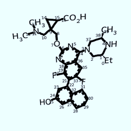 CC[C@@H]1CN(c2nc(OCC3(CN(C)C)CC3C(=O)O)nc3c(F)c(-c4cc(O)cc5ccccc45)c(F)cc23)C[C@@H](C)N1